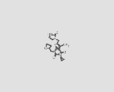 Cc1c(CN2CCNC2=O)sc2c1c(=O)n(C1CC1)c(=O)n2CC1CCO1